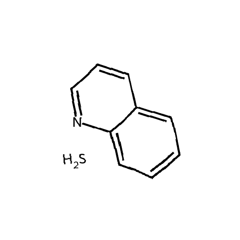 S.c1ccc2ncccc2c1